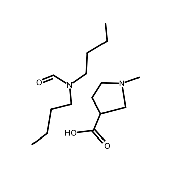 CCCCN(C=O)CCCC.CN1CCC(C(=O)O)C1